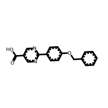 O=C(O)c1cnc(-c2ccc(OCc3ccccc3)cc2)nc1